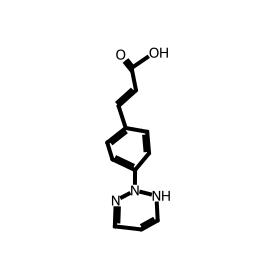 O=C(O)/C=C/c1ccc(N2N=CC=CN2)cc1